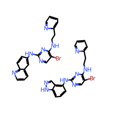 Brc1cnc(Nc2ccc3ncccc3c2)nc1NCCc1ccccn1.Brc1cnc(Nc2cccc3[nH]ncc23)nc1NCCc1ccccn1